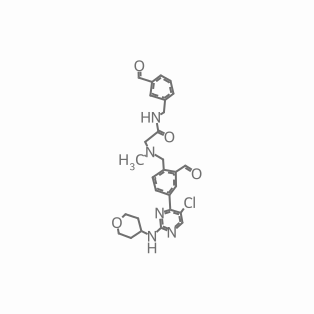 CN(CC(=O)NCc1cccc(C=O)c1)Cc1ccc(-c2nc(NC3CCOCC3)ncc2Cl)cc1C=O